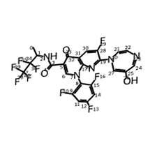 CC(NC(=O)c1cn(-c2c(F)cc(F)cc2F)c2nc(N3C=CN=CC(O)=C3)c(F)cc2c1=O)C(F)(F)C(F)(F)F